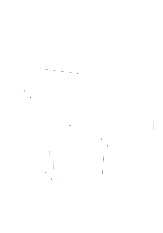 C[N+](C)(C)CCO.O=C(O)N1C=CN=CC1